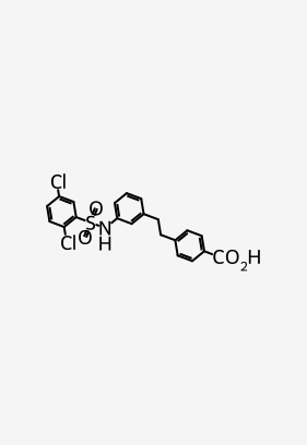 O=C(O)c1ccc(CCc2cccc(NS(=O)(=O)c3cc(Cl)ccc3Cl)c2)cc1